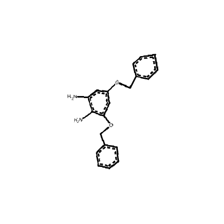 Nc1cc(OCc2ccccc2)cc(OCc2ccccc2)c1N